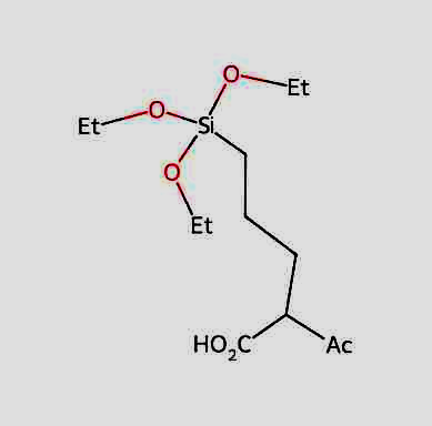 CCO[Si](CCCC(C(C)=O)C(=O)O)(OCC)OCC